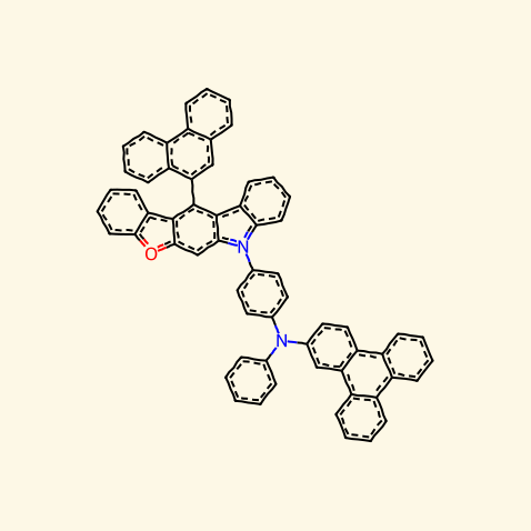 c1ccc(N(c2ccc(-n3c4ccccc4c4c(-c5cc6ccccc6c6ccccc56)c5c(cc43)oc3ccccc35)cc2)c2ccc3c4ccccc4c4ccccc4c3c2)cc1